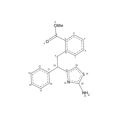 COC(=O)c1ccccc1CC(c1ccccc1)c1csc(N)n1